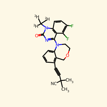 [2H]C([2H])([2H])n1c(=O)nc(N2CCOCc3c(C#CC(C)(C)C#N)cccc32)c2c(F)c(F)ccc21